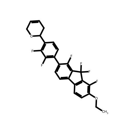 CCOc1ccc2c(c1F)C(F)(F)c1c-2ccc(-c2ccc(C3CC=CCO3)c(F)c2F)c1F